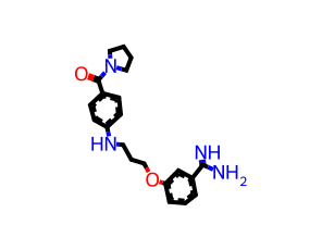 N=C(N)c1cccc(OCCCNc2ccc(C(=O)N3CCCC3)cc2)c1